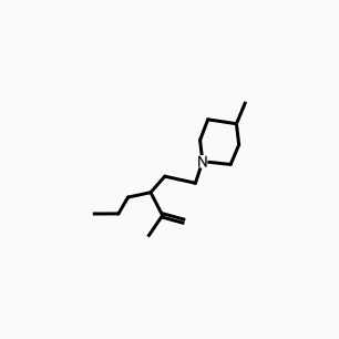 C=C(C)C(CCC)CCN1CCC(C)CC1